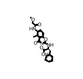 COCC(=O)Nc1ccc2oc(N[C@@H](Cc3ccccc3)C(=O)O)nc(=O)c2c1C